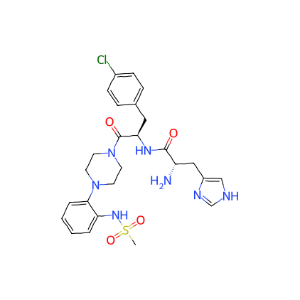 CS(=O)(=O)Nc1ccccc1N1CCN(C(=O)[C@@H](Cc2ccc(Cl)cc2)NC(=O)[C@@H](N)Cc2c[nH]cn2)CC1